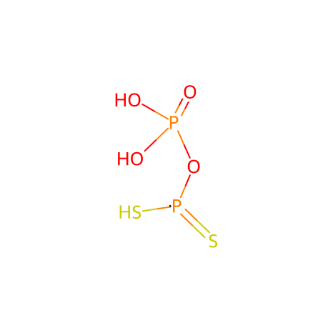 O=P(O)(O)O[P](=S)S